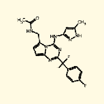 CC(=O)NCc1ccc2nc(C(F)(F)c3ccc(F)cc3)nc(Nc3cc(C)[nH]n3)n12